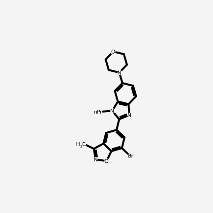 CCCn1c(-c2cc(Br)c3onc(C)c3c2)nc2ccc(N3CCOCC3)cc21